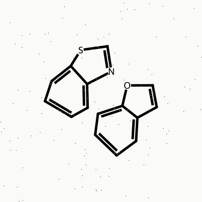 c1ccc2occc2c1.c1ccc2scnc2c1